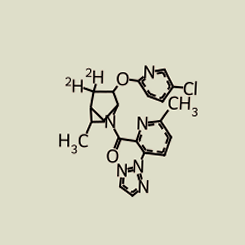 [2H]C1([2H])C2CC(C1Oc1ccc(Cl)cn1)N(C(=O)c1nc(C)ccc1-n1nccn1)C2C